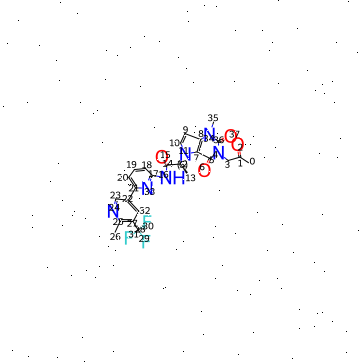 CC(=O)Cn1c(=O)c2c(ccn2[C@@H](C)C(=O)Nc2cccc(-c3cnc(C)c(C(F)(F)F)c3)n2)n(C)c1=O